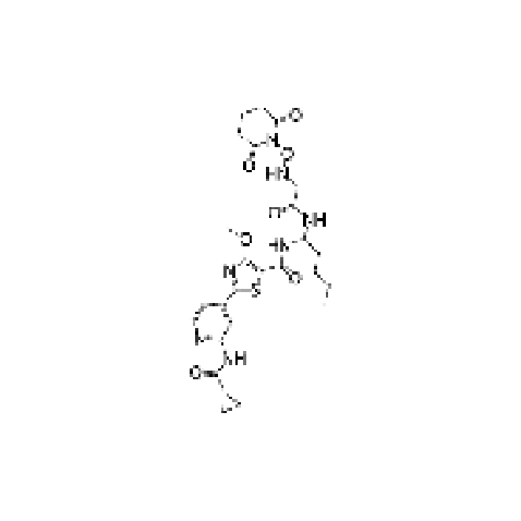 CCCCC(NC(=O)CNON1C(=O)CCCC1=O)NC(=O)c1sc(-c2ccnc(NC(=O)C3CC3)c2)nc1OC